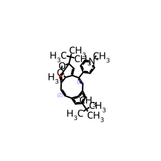 Cc1c2cc(C(C)(C)C)cc1/C=C(/c1cc[n+](C)cc1)C1=CC3(C(C)(C)C)C=C(/C=C\2)C1(C)OO3